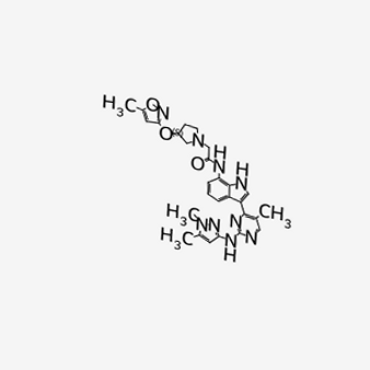 Cc1cc(O[C@H]2CCN(CC(=O)Nc3cccc4c(-c5nc(Nc6cc(C)n(C)n6)ncc5C)c[nH]c34)C2)no1